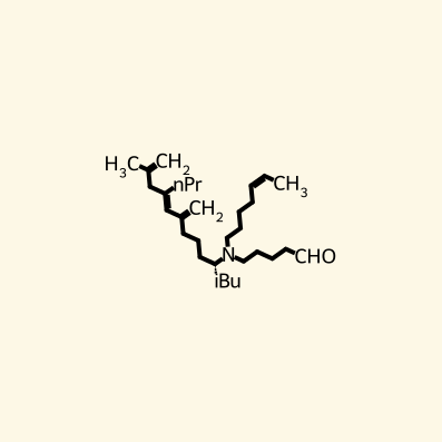 C=C(C)C/C(=C/C(=C)CCC[C@@H](C(C)CC)N(CCCCC=O)CCCC/C=C\C)CCC